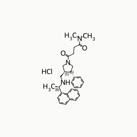 C[C@@H](NC[C@H]1CN(C(=O)CCC(=O)N(C)C)C[C@@H]1c1ccccc1)c1cccc2ccccc12.Cl